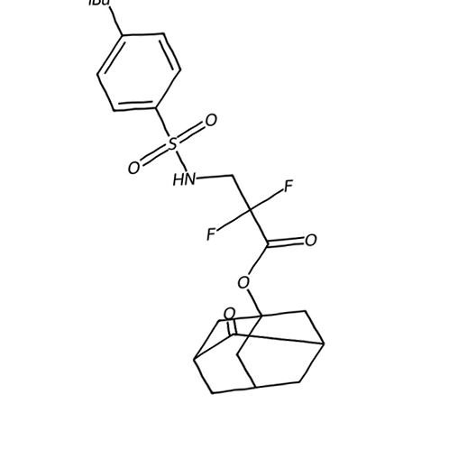 CCC(C)c1ccc(S(=O)(=O)NCC(F)(F)C(=O)OC23CC4CC(C2)C(=O)C(C4)C3)cc1